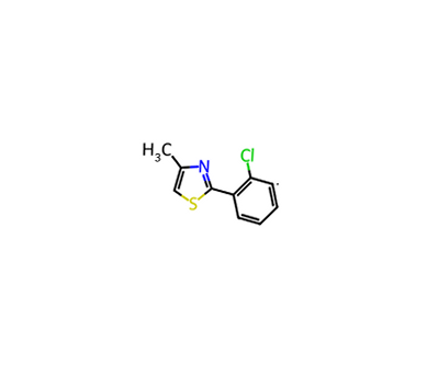 Cc1csc(-c2ccc[c]c2Cl)n1